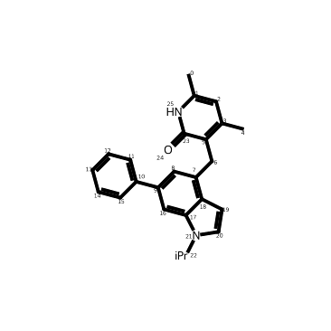 Cc1cc(C)c(Cc2cc(-c3ccccc3)cc3c2ccn3C(C)C)c(=O)[nH]1